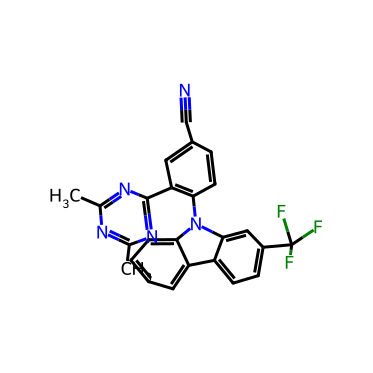 Cc1nc(C)nc(-c2cc(C#N)ccc2-n2c3ccccc3c3ccc(C(F)(F)F)cc32)n1